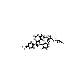 COCCC(=O)Nc1nc2c(s1)-c1c(c(-c3ccc(N)nc3)nn1-c1ccccc1F)CCC2